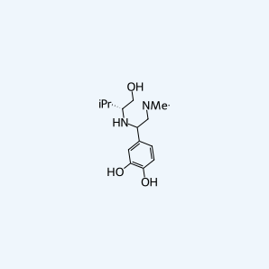 C[N]CC(N[C@@H](CO)C(C)C)c1ccc(O)c(O)c1